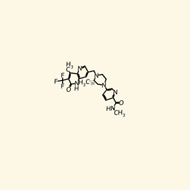 CNC(=O)c1ccc(N2CCN(Cc3cnc4c(C)c(C(F)(F)F)c(=O)[nH]c4c3)[C@@H](C)C2)cn1